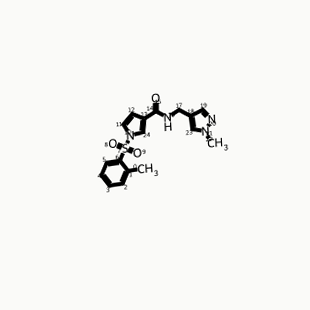 Cc1ccccc1S(=O)(=O)n1ccc(C(=O)NCc2cnn(C)c2)c1